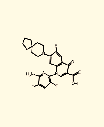 Nc1nc(-n2cc(C(=O)O)c(=O)c3cc(F)c(N4CCC5(CCCC5)CC4)cc32)c(F)cc1F